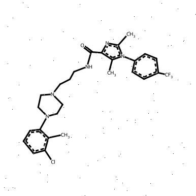 Cc1c(Cl)cccc1N1CCN(CCCNC(=O)c2nc(C)n(-c3ccc(C(F)(F)F)cc3)c2C)CC1